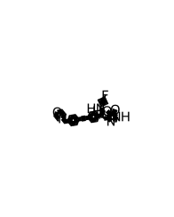 O=c1[nH]cnc(C[C@H](CN[C@H]2C[C@H](F)C2)c2ccc(C#Cc3ccc(CN4CCOCC4)cc3)cc2)c1O